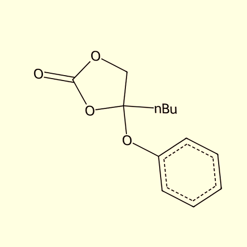 CCCCC1(Oc2ccccc2)COC(=O)O1